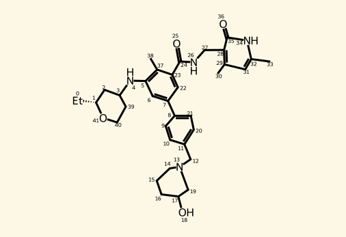 CC[C@@H]1CC(Nc2cc(-c3ccc(CN4CCCC(O)C4)cc3)cc(C(=O)NCc3c(C)cc(C)[nH]c3=O)c2C)CCO1